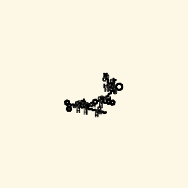 C=CCOC(=O)NCCCCC(NC(=O)CC(NC(=O)OCC1c2ccccc2-c2ccccc21)C(=O)OC(C)(C)C)C(=O)NCC1CCC(C(=O)NC(Cc2ccc3ccccc3c2)C(=O)NCCCCC(NC(=O)NC(CCC(=O)OC(C)(C)C)C(=O)OC(C)(C)C)C(=O)OC2CCCCCCCC2)CC1